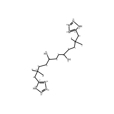 CC(C)(CCC(S)CCC(S)CCC(C)(C)Cc1nnn[nH]1)Cc1nnn[nH]1